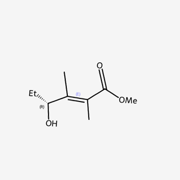 CC[C@@H](O)/C(C)=C(\C)C(=O)OC